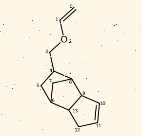 C=COCC1CC2CC1C1C=CCC21